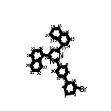 Brc1cccc(-c2ccc(-c3nc(-c4cccc5ccccc45)cc(-c4cccc5ccccc45)n3)cc2)c1